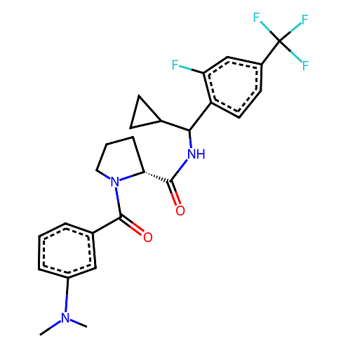 CN(C)c1cccc(C(=O)N2CCC[C@@H]2C(=O)NC(c2ccc(C(F)(F)F)cc2F)C2CC2)c1